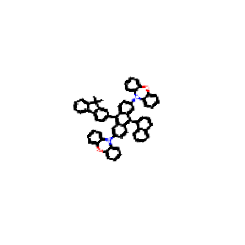 CC1(C)c2ccccc2-c2ccc(-c3c4cc(N5c6ccccc6Oc6ccccc65)ccc4c(-c4cccc5ccccc45)c4cc(N5c6ccccc6Oc6ccccc65)ccc34)cc21